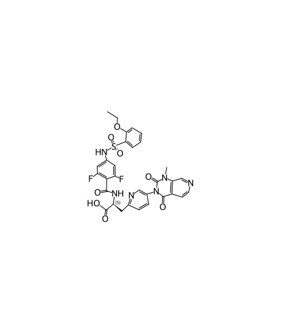 CCOc1ccccc1S(=O)(=O)Nc1cc(F)c(C(=O)N[C@@H](Cc2ccc(-n3c(=O)c4ccncc4n(C)c3=O)cn2)C(=O)O)c(F)c1